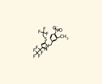 Cc1cc(Cn2nc(C(F)(F)C(F)(F)F)cc2SCC(F)(F)F)ccc1[N+](=O)[O-]